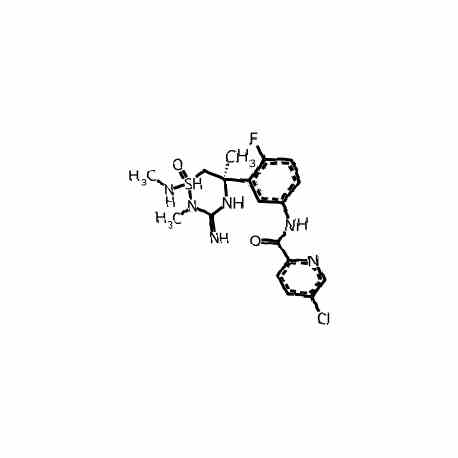 CN[SH]1(=O)C[C@@](C)(c2cc(NC(=O)c3ccc(Cl)cn3)ccc2F)NC(=N)N1C